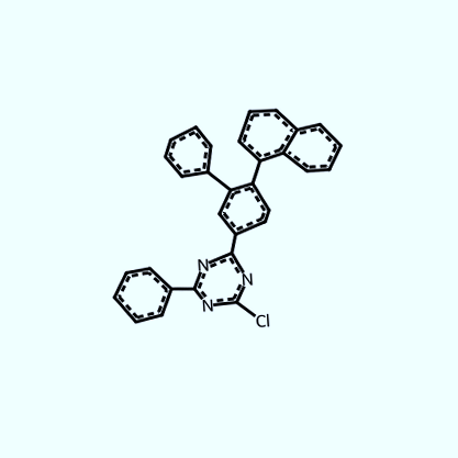 Clc1nc(-c2ccccc2)nc(-c2ccc(-c3cccc4ccccc34)c(-c3ccccc3)c2)n1